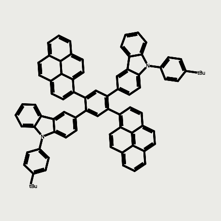 CC(C)(C)c1ccc(-n2c3ccccc3c3cc(-c4cc(-c5ccc6ccc7cccc8ccc5c6c78)c(-c5ccc6c(c5)c5ccccc5n6-c5ccc(C(C)(C)C)cc5)cc4C4=CC=C5C=CC6=CC=CC7=CC=C4C5C67)ccc32)cc1